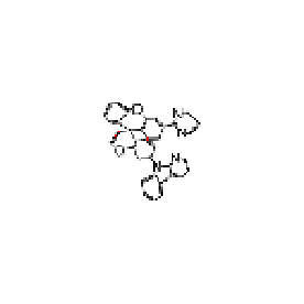 c1cnc(-c2ccc3c(c2)Oc2ccccc2C32c3ccccc3Oc3cc(-n4c5ccccc5c5cccnc54)ccc32)nc1